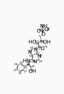 CO[C@H]([C@H](O)[C@H](O)COS(N)(=O)=O)n1cnc2c(N[C@@H](CO)c3ccccc3)ncnc21